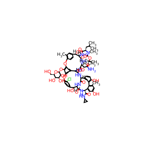 Cc1cc2ccc1Oc1cc3cc(c1O[C@@H]1O[C@H](CO)[C@@H](O)[C@H](O)[C@H]1O)Oc1ccc(cc1Cl)[C@@H](O)[C@@H]1NC(=O)[C@@H](NC(=O)[C@@H]3NC(=O)[C@H](CC(N)=O)NC(=O)[C@H](NC(=O)[C@@H](CC(C)C)N(C)C(=O)OC(C)(C)C)[C@@H]2O)c2ccc(O)c(c2)-c2c(C)cc(O)cc2[C@@H](C(=O)NC2CC2)NC1=O